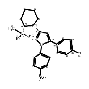 COc1ccc(-n2nc([C@H]3CCCC[C@H]3[N+](C)(O)C=O)cc2-c2ccc(Cl)cc2)cc1